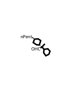 CCCCC[C@H]1CC[C@H](C(C)(C=O)C2CCCCC2)CC1